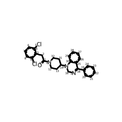 O=C(Cc1c(Cl)cccc1Cl)N1CCC(N2CN=C(c3ccccc3)c3ccccc32)CC1